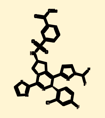 COC(=O)c1cccc(S(=O)(=O)N[C@H]2CC3=C(c4ccn(C(F)F)n4)[C@H](c4ccc(F)cc4Cl)N=C(c4nccs4)N3C2)c1